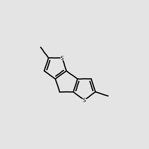 Cc1cc2c(s1)Cc1cc(C)sc1-2